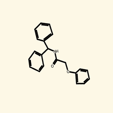 O=C(COc1ccccc1)N[C](c1ccccc1)c1ccccc1